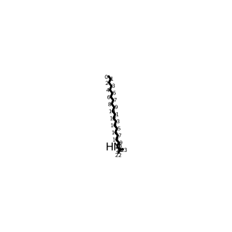 CCCCCCCCCCCCCCCCCCCCNC(C)C